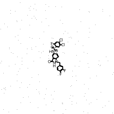 O=c1[nH]n(Cc2ccc(F)c(F)c2)c2ccc(NS(=O)(=O)c3cc(Cl)c(Cl)cc3F)cc12